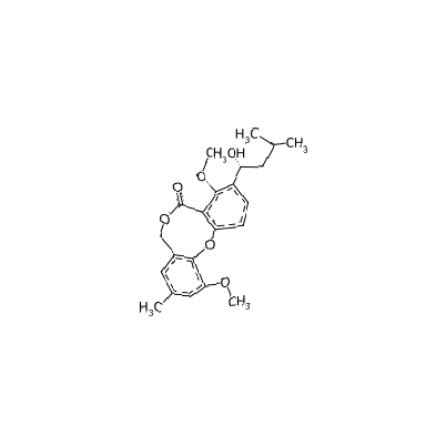 COc1cc(C)cc2c1Oc1ccc([C@H](O)CC(C)C)c(OC)c1C(=O)OC2